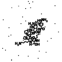 CC(O)[C@H](NC(=O)CCCCCNC(=O)c1ccc(NN)nc1)C(=O)N[C@@H](CCCCN)C(=O)N1CCC[C@H]1C(=O)N1CCC[C@H]1C(=O)N[C@@H](CCCNC(=N)N)C(=O)O